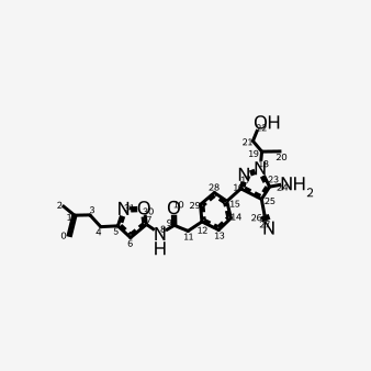 C=C(C)CCc1cc(NC(=O)Cc2ccc(-c3nn(C(C)CO)c(N)c3C#N)cc2)on1